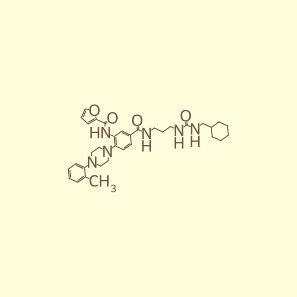 Cc1ccccc1N1CCN(c2ccc(C(=O)NCCCNC(=O)NCC3CCCCC3)cc2NC(=O)c2ccco2)CC1